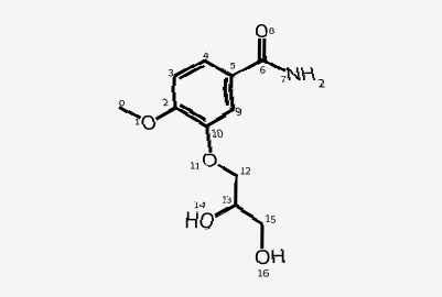 COc1ccc(C(N)=O)cc1OCC(O)CO